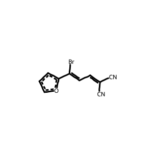 N#CC(C#N)=CC=C(Br)c1ccco1